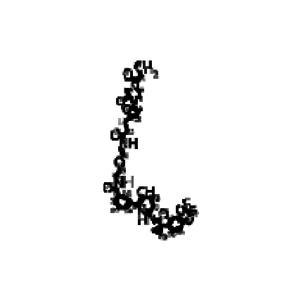 C=CC(=O)N1CCN(c2ccc(CCC(=O)NCCOCCNC(=O)c3cccc(-c4nc(NC(=O)C5(c6ccc7c(c6)OC(F)(F)O7)CC5)ccc4C)c3)o2)C(=O)C1